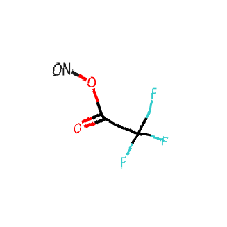 O=NOC(=O)C(F)(F)F